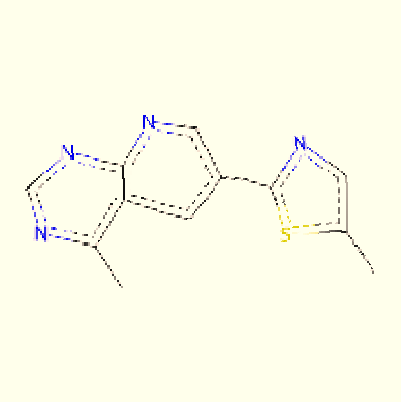 Cc1cnc(-c2cnc3ncnc(C)c3c2)s1